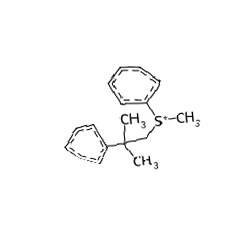 C[S+](CC(C)(C)c1ccccc1)c1ccccc1